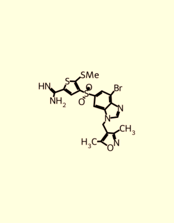 CSc1sc(C(=N)N)cc1S(=O)(=O)c1cc(Br)c2ncn(Cc3c(C)noc3C)c2c1